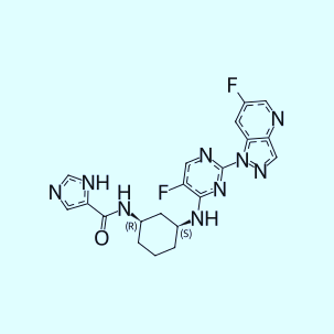 O=C(N[C@@H]1CCC[C@H](Nc2nc(-n3ncc4ncc(F)cc43)ncc2F)C1)c1cnc[nH]1